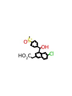 C[S+]([O-])c1ccc(C(O)c2cc(CC(=O)O)cc3ccc(Cl)cc23)cc1